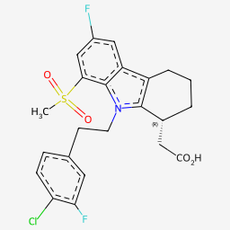 CS(=O)(=O)c1cc(F)cc2c3c(n(CCc4ccc(Cl)c(F)c4)c12)[C@@H](CC(=O)O)CCC3